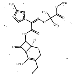 CC(C)(C)OC(=O)C(C)(C)O/N=C(\C(=O)NC1C(=O)N2C(C(=O)O)=C(CI)CS[C@H]12)c1csc(N)n1